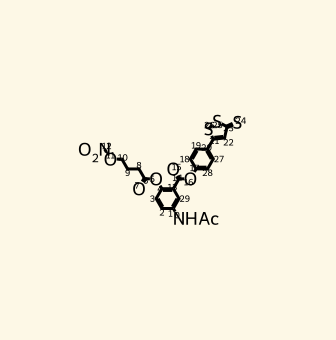 CC(=O)Nc1ccc(OC(=O)CCCO[N+](=O)[O-])c(C(=O)Oc2ccc(-c3cc(=S)ss3)cc2)c1